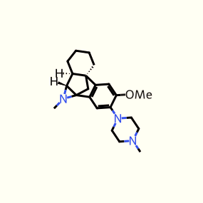 COc1cc2c(cc1N1CCN(C)CC1)C13C[C@]24CCCC[C@@H]4[C@H]1N3C